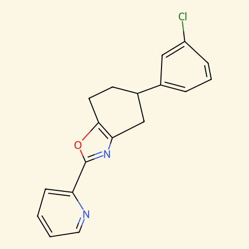 Clc1cccc(C2CCc3oc(-c4ccccn4)nc3C2)c1